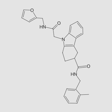 Cc1ccccc1CNC(=O)C1CCc2c(c3ccccc3n2CC(=O)NCc2ccco2)C1